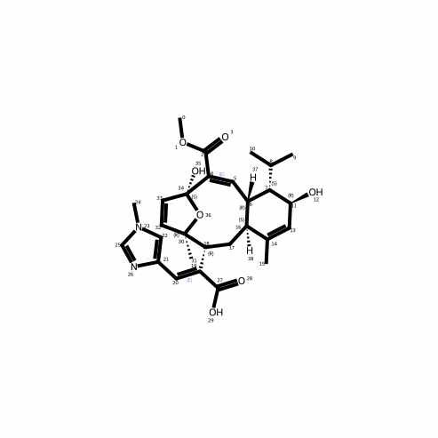 COC(=O)/C1=C/[C@@H]2[C@H](C(C)C)[C@@H](O)C=C(C)[C@H]2C[C@H](/C(=C\c2cn(C)cn2)C(=O)O)[C@@]2(C)C=C[C@]1(O)O2